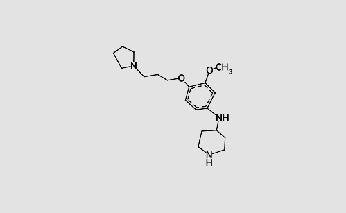 COc1cc(NC2CCNCC2)ccc1OCCCN1CCCC1